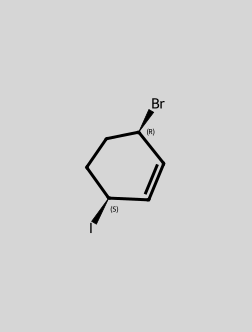 Br[C@H]1C=C[C@@H](I)CC1